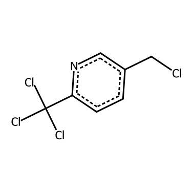 ClCc1ccc(C(Cl)(Cl)Cl)nc1